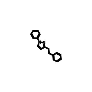 c1ccc(CCc2ccn(-c3ccccc3)n2)cc1